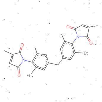 CCc1cc(Cc2cc(C)c(N3C(=O)C=C(C)C3=O)c(CC)c2)cc(C)c1N1C(=O)C=C(C)C1=O